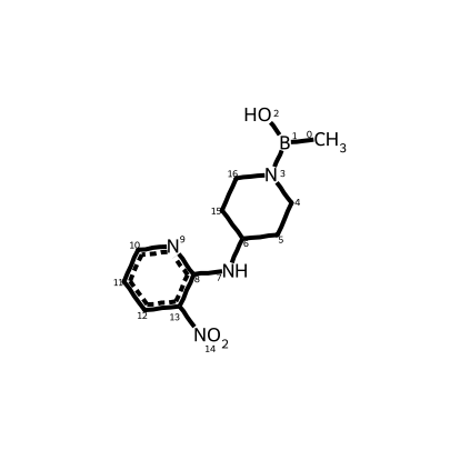 CB(O)N1CCC(Nc2ncccc2[N+](=O)[O-])CC1